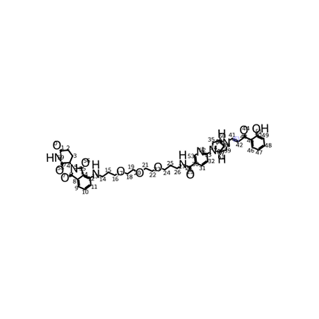 O=C1CCC(N2C(=O)c3cccc(NCCCOCCOCCOCCCNC(=O)c4ccc(N5C[C@H]6C[C@@H]5CN6/C=C/C(=O)c5ccccc5O)nc4)c3C2=O)C(=O)N1